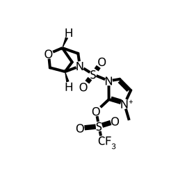 C[n+]1ccn(S(=O)(=O)N2C[C@@H]3C[C@H]2CO3)c1OS(=O)(=O)C(F)(F)F